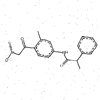 Cc1cc(NC(=O)C(C)c2ccccc2)ccc1C(=O)C[N+](=O)[O-]